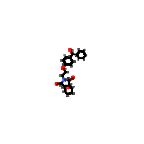 O=C(c1ccccc1)c1ccc(OCCN2C(=O)C3C4C=CC(O4)C3C2=O)cc1